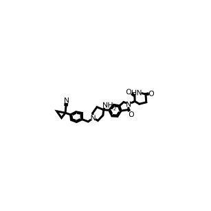 N#CC1(c2ccc(CN3CCC(N)(c4ccc5c(c4)CN(C4CCC(=O)NC4=O)C5=O)CC3)cc2)CC1